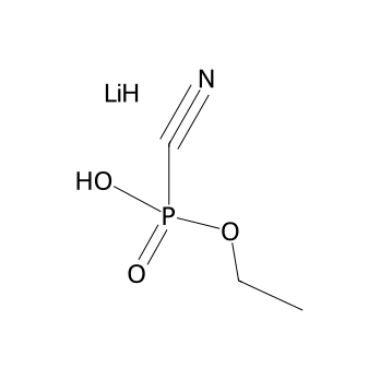 CCOP(=O)(O)C#N.[LiH]